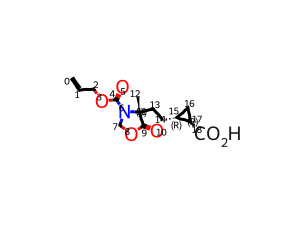 C=CCOC(=O)N1COC(=O)[C@@]1(C)CC[C@@H]1C[C@H]1C(=O)O